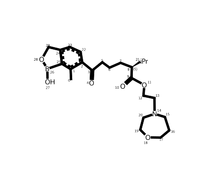 Cc1c(C(=O)CCC[C@H](C(=O)OCCN2CCCOCC2)C(C)C)ccc2c1B(O)OC2